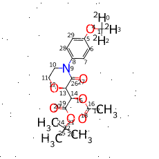 [2H]C([2H])([2H])Oc1ccc(N2CCO[C@H]([C@@H](OC(C)=O)C(=O)OC(C)(C)C)C2=O)cc1